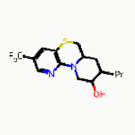 CC(C)C1CC2CSc3cc(C(F)(F)F)cnc3N2CC1O